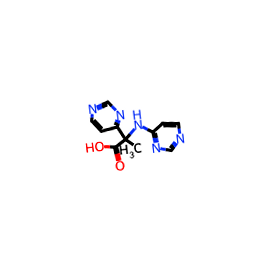 CC(Nc1ccncn1)(C(=O)O)c1ccncn1